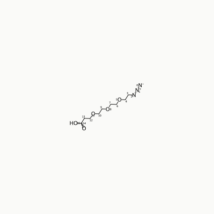 [N-]=[N+]=NCCOCCOCCOCCC(=O)O